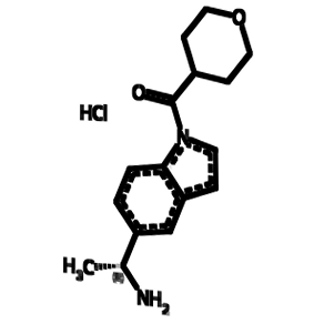 C[C@@H](N)c1ccc2c(ccn2C(=O)C2CCOCC2)c1.Cl